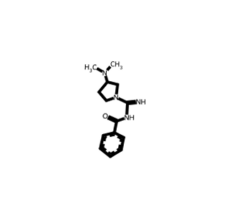 CN(C)C1CCN(C(=N)NC(=O)c2ccccc2)C1